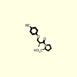 C[C@@H](COc1ccc(C#N)cc1)C(=O)N1CCC[C@H]1C(=O)O